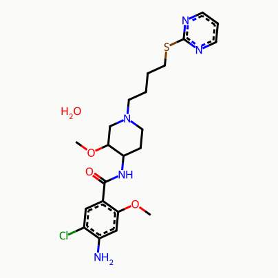 COc1cc(N)c(Cl)cc1C(=O)NC1CCN(CCCCSc2ncccn2)CC1OC.O